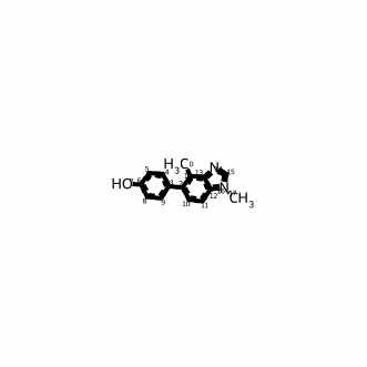 Cc1c(-c2ccc(O)cc2)ccc2c1ncn2C